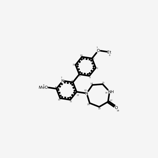 CCOc1ccc(-c2nc(OC)ccc2N2CCNC(=O)CC2)cc1